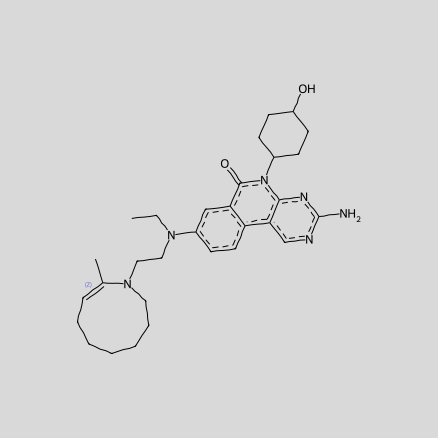 CCN(CCN1CCCCCC/C=C\1C)c1ccc2c(c1)c(=O)n(C1CCC(O)CC1)c1nc(N)ncc21